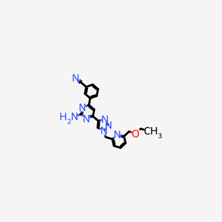 CCOCc1cccc(Cn2cc(-c3cc(-c4cccc(C#N)c4)nc(N)n3)nn2)n1